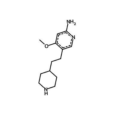 COc1cc(N)ncc1CCC1CCNCC1